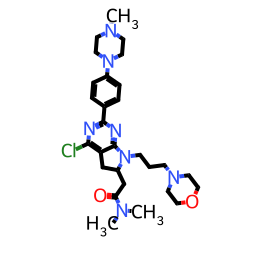 CN1CCN(c2ccc(-c3nc(Cl)c4c(n3)N(CCCN3CCOCC3)C(CC(=O)N(C)C)C4)cc2)CC1